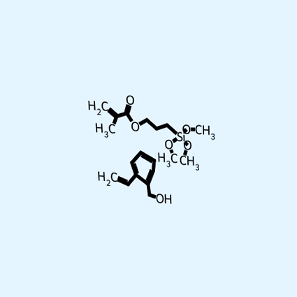 C=C(C)C(=O)OCCC[Si](OC)(OC)OC.C=Cc1ccccc1CO